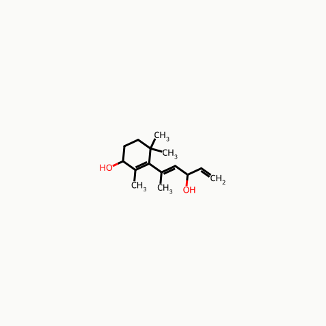 C=CC(O)C=C(C)C1=C(C)C(O)CCC1(C)C